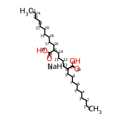 CCCCCCCCCCC(CCCCC(CCCCCCCCCC)C(=O)O)C(=O)O.[NaH]